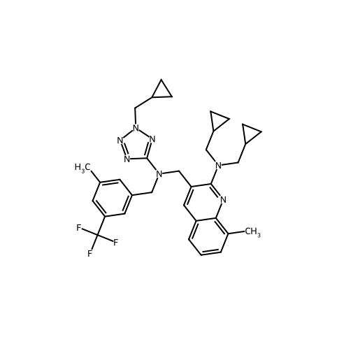 Cc1cc(CN(Cc2cc3cccc(C)c3nc2N(CC2CC2)CC2CC2)c2nnn(CC3CC3)n2)cc(C(F)(F)F)c1